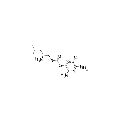 CC(C)C[C@H](N)CNC(=O)Oc1nc(Cl)c(N)nc1N